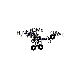 CO/N=C(\C(=O)NC1C(=O)N2C(C(=O)OC(c3ccccc3)c3ccccc3)=C(/C=C/COC(=O)c3ccc(OC(C)=O)c(OC(C)=O)c3)CS[C@@H]12)c1csc(N)n1